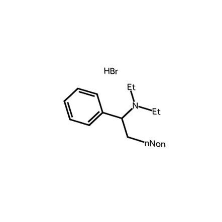 Br.CCCCCCCCCCC(c1ccccc1)N(CC)CC